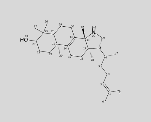 CC(C)=CCC[C@@H](C)[C@H]1CN[C@@]2(C)C3=C(CC[C@]12C)[C@@]1(C)CCC(O)C(C)(C)C1CC3